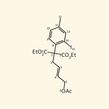 CCOC(=O)C(CC=CCOC(C)=O)(C(=O)OCC)c1ccc(C)cc1I